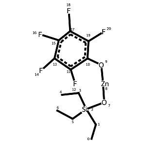 CC[Si](CC)(CC)[O][Zn][O]c1c(F)c(F)c(F)c(F)c1F